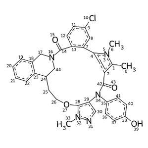 Cc1c2cc(n1C)-c1cc(Cl)ccc1C(=O)N1Cc3ccccc3C(CCOc3c(cnn3C)N(c3ccc(O)cc3)C2=O)C1